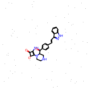 Nc1c(N2CCNCC2C(=O)c2ccc(C=Cc3n[nH]c4ccccc34)cc2)c(=O)c1=O